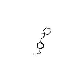 CC1(OCc2ccc(OC(F)(F)F)cc2)CC[N]CC1